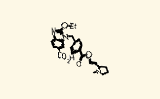 CCOc1nc2ccc(C(=O)O)cc2n1Cc1ccc(C(=O)OCCC2CCCN2C)cc1